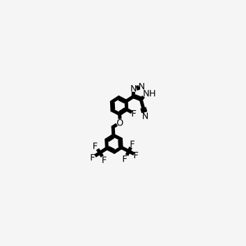 N#Cc1[nH]nnc1-c1cccc(OCc2cc(C(F)(F)F)cc(C(F)(F)F)c2)c1F